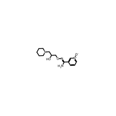 NC(=NOCC(O)CN1CCCCC1)c1ccc[n+]([O-])c1